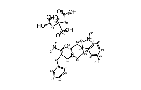 CN(C)C(=O)C(Cc1ccccc1)CN1CCC2(CC1)CN(C)c1ccc(F)cc12.O=C(O)CC(O)(CC(=O)O)C(=O)O